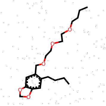 CCCCOCCOCCOCc1cc2c(cc1CCCC)OCO2